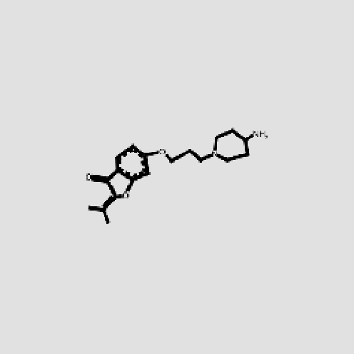 CC(C)=C1Oc2cc(OCCCN3CCC(N)CC3)ccc2C1=O